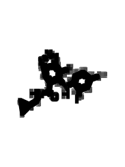 O=C(NCC1CC1)c1cc2snnc2c(F)c1Nc1ccc(I)cc1F